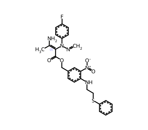 C=NN(/C(C(=O)OCc1ccc(NCCSc2ccccc2)c([N+](=O)[O-])c1)=C(/C)N)c1ccc(F)cc1